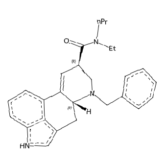 CCCN(CC)C(=O)[C@@H]1C=C2c3cccc4[nH]cc(c34)C[C@H]2N(Cc2ccccc2)C1